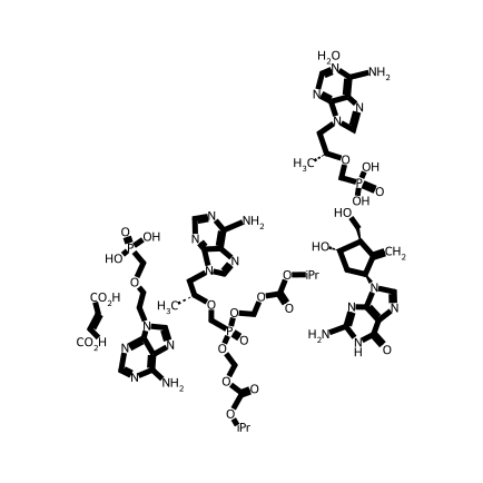 C=C1[C@H](CO)[C@@H](O)C[C@@H]1n1cnc2c(=O)[nH]c(N)nc21.CC(C)OC(=O)OCOP(=O)(CO[C@H](C)Cn1cnc2c(N)ncnc21)OCOC(=O)OC(C)C.C[C@H](Cn1cnc2c(N)ncnc21)OCP(=O)(O)O.Nc1ncnc2c1ncn2CCOCP(=O)(O)O.O.O=C(O)/C=C/C(=O)O